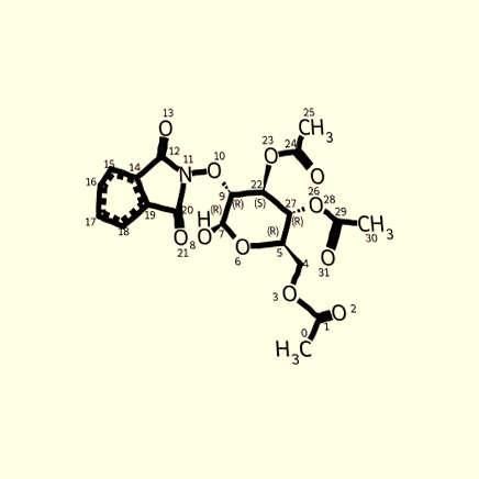 CC(=O)OC[C@H]1O[C@@H](O)[C@H](ON2C(=O)c3ccccc3C2=O)[C@@H](OC(C)=O)[C@@H]1OC(C)=O